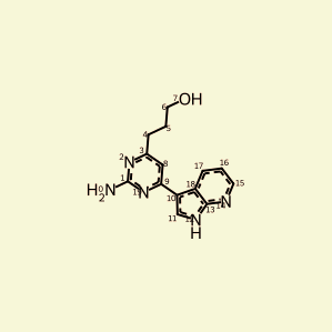 Nc1nc(CCCO)cc(-c2c[nH]c3ncccc23)n1